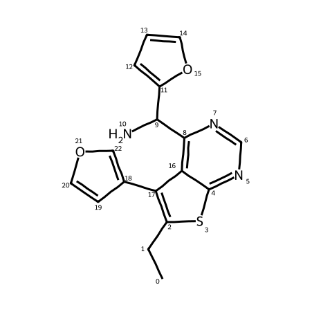 CCc1sc2ncnc(C(N)c3ccco3)c2c1-c1ccoc1